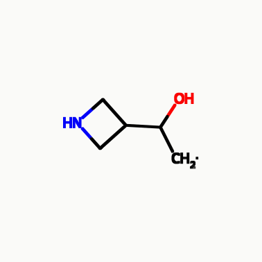 [CH2]C(O)C1CNC1